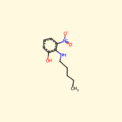 CCCCCNc1c(O)cccc1[N+](=O)[O-]